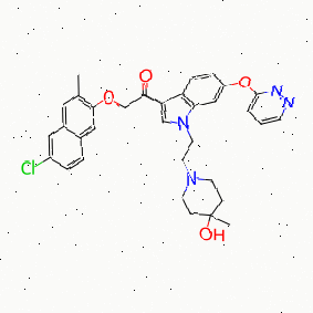 Cc1cc2cc(Cl)ccc2cc1OCC(=O)c1cn(CCN2CCC(C)(O)CC2)c2cc(Oc3cccnn3)ccc12